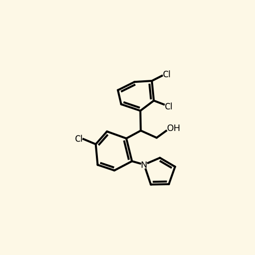 OCC(c1cc(Cl)ccc1-n1cccc1)c1cccc(Cl)c1Cl